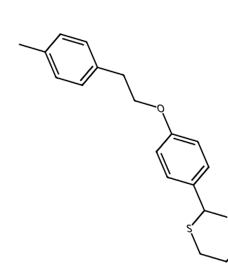 Cc1ccc(CCOc2ccc(C3SCCCS3)cc2)cc1